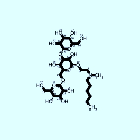 CCCCCCN(C)CCO[C@H]1OC(CO[C@H]2OC(CO)[C@@H](O)C(O)C2O)[C@@H](O)C(O[C@H]2OC(CO)[C@@H](O)C(O)C2O)C1O